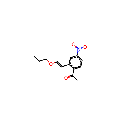 CCCO/C=C/c1cc([N+](=O)[O-])ccc1C(C)=O